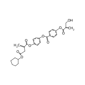 C=C(CO)C(=O)Oc1ccc(C(=O)Oc2ccc(OC(=O)C(=C)CC(=O)OC3CCCCC3)cc2)cc1